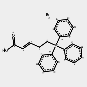 O=C(O)/C=C/CC[P+](c1ccccc1)(c1ccccc1)c1ccccc1.[Br-]